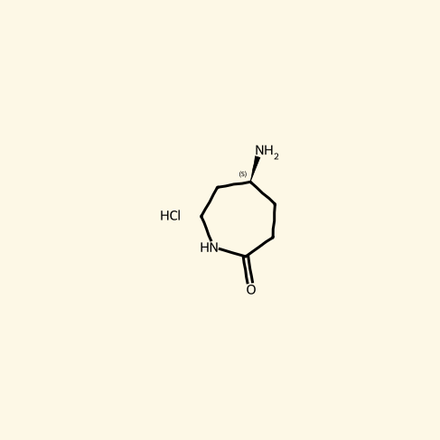 Cl.N[C@@H]1CCNC(=O)CC1